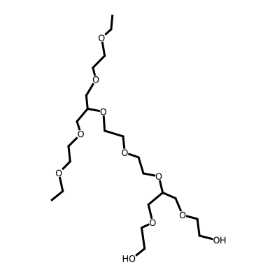 CCOCCOCC(COCCOCC)OCCOCCOC(COCCO)COCCO